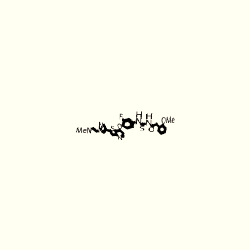 CNCCn1cc(-c2cc3nccc(Oc4ccc(NC(=S)NC(=O)Cc5ccccc5OC)cc4F)c3s2)cn1